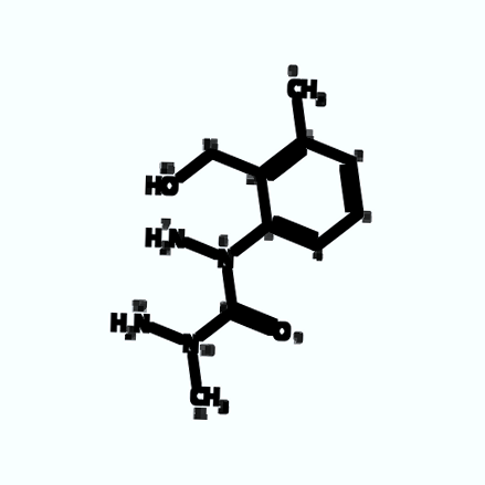 Cc1cccc(N(N)C(=O)N(C)N)c1CO